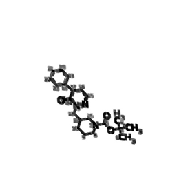 CC(C)(C)OC(=O)N1CCCC(Cn2nccc(-c3ccccc3)c2=O)C1